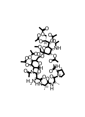 COC(=O)[C@@]1(OCC2O[C@@H]3O[C@@H]([C@H](N)C(=O)N[C@@H](C)C(=O)N[C@@H](C)C(=O)N4CCC[C@H]4C(N)=O)N(C(C)=O)C3[C@@H](OC(C)=O)[C@H]2OC(C)=O)C[C@@H](OC(C)=O)[C@@H](NC(C)=O)C([C@H](OC(C)=O)[C@@H](COC(C)=O)OC(C)=O)O1